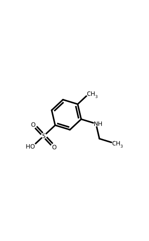 CCNc1cc(S(=O)(=O)O)ccc1C